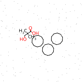 C1CCCCCCCCC1.C1CCCCCCCCC1.C1CCCCCCCCC1.CC(C)(CO)C(=O)O